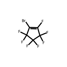 FC1=C(Br)C(F)(F)C(F)(F)C1(F)F